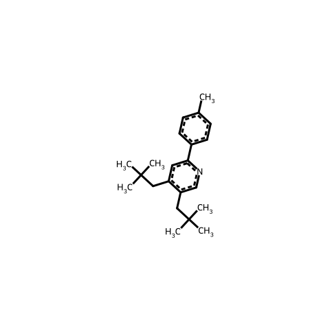 Cc1ccc(-c2cc(CC(C)(C)C)c(CC(C)(C)C)cn2)cc1